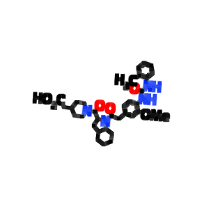 COc1cc(CC(=O)N2C(C(=O)N3CCC(CC(=O)O)CC3)CC3CCCCC32)ccc1NC(=O)Nc1ccccc1C